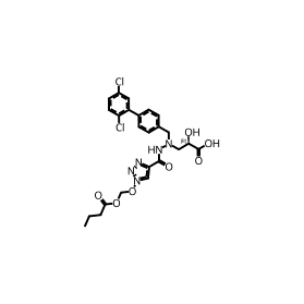 CCCC(=O)OCOn1cc(C(=O)NN(Cc2ccc(-c3cc(Cl)ccc3Cl)cc2)C[C@@H](O)C(=O)O)nn1